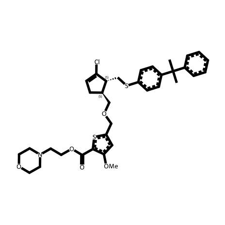 COc1cc(COC[C@H]2CC=C(Cl)[C@@H]2CSc2ccc(C(C)(C)c3ccccc3)cc2)sc1C(=O)OCCN1CCOCC1